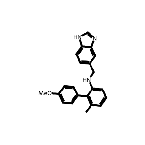 COc1ccc(-c2c(C)cccc2NCc2ccc3[nH]cnc3c2)cc1